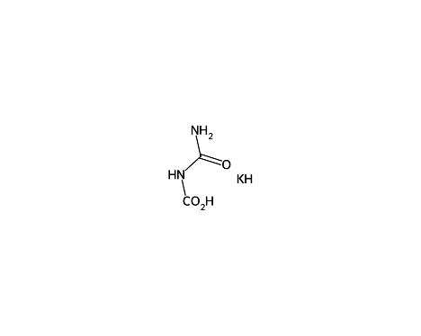 NC(=O)NC(=O)O.[KH]